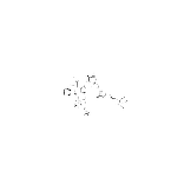 C=C1C[C@H](CCCO[Si](CC)(CC)CC)O[C@H]1CC[C@H]1C[C@@H](C)C(=C)[C@@H](C[C@@H]2O[C@H](CC(CO[Si](C)(C)C(C)(C)C)O[Si](C)(C)C(C)(C)C)[C@H](OC)[C@H]2C(C(=O)OC)S(=O)(=O)c2ccccc2)O1